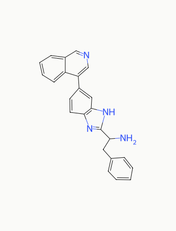 NC(Cc1ccccc1)c1nc2ccc(-c3cncc4ccccc34)cc2[nH]1